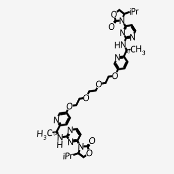 CC(C)C1COC(=O)N1c1ccnc(N[C@@H](C)c2ccc(OCCOCCOCCOc3ccc([C@H](C)Nc4nccc(N5C(=O)OCC5C(C)C)n4)nc3)cn2)n1